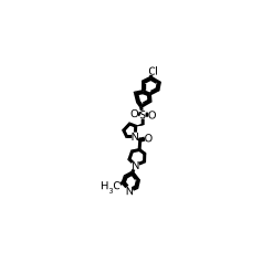 Cc1cc(N2CCC(C(=O)N3CCC[C@H]3CS(=O)(=O)c3ccc4cc(Cl)ccc4c3)CC2)ccn1